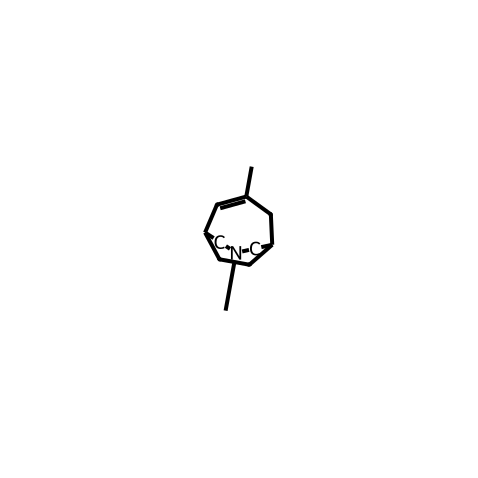 CC1=CC2CCC(C1)CN(C)C2